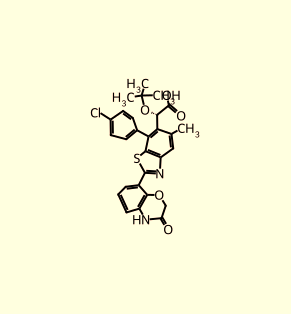 Cc1cc2nc(-c3cccc4c3OCC(=O)N4)sc2c(-c2ccc(Cl)cc2)c1[C@H](OC(C)(C)C)C(=O)O